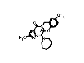 COc1ccc(C)cc1CN(CCN1CCCCCC1)C(=O)c1cc(C(F)(F)F)n[nH]1